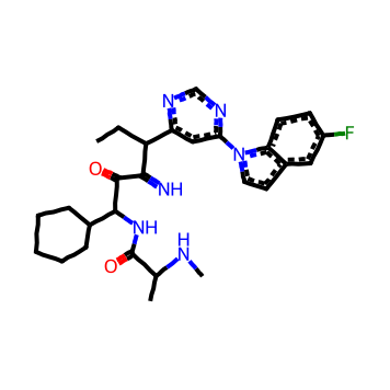 CCC(C(=N)C(=O)C(NC(=O)C(C)NC)C1CCCCC1)c1cc(-n2ccc3cc(F)ccc32)ncn1